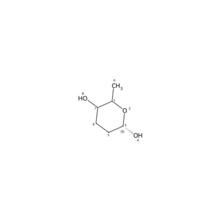 CC1O[C@H](O)CCC1O